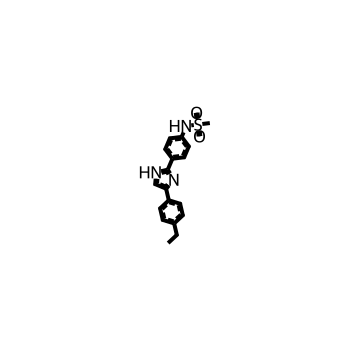 CCc1ccc(-c2c[nH]c(-c3ccc(NS(C)(=O)=O)cc3)n2)cc1